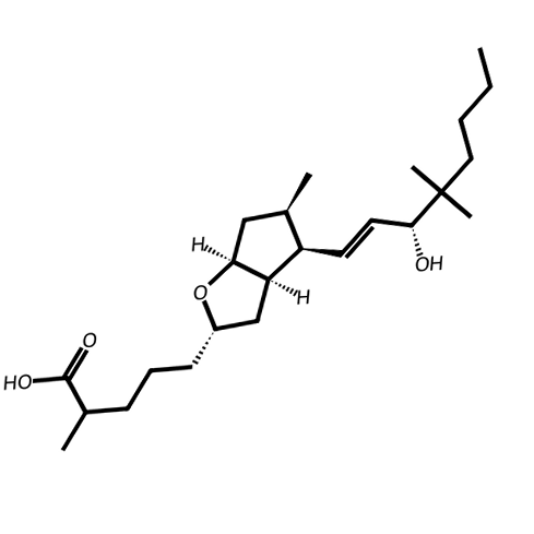 CCCCC(C)(C)[C@H](O)/C=C/[C@H]1[C@H]2C[C@H](CCCC(C)C(=O)O)O[C@H]2C[C@H]1C